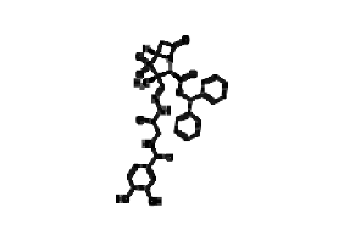 C[C@]1(/C=N/NC(=O)CNC(=O)c2ccc(O)c(O)c2)[C@H](C(=O)OC(c2ccccc2)c2ccccc2)N2C(=O)C[C@H]2S1(=O)=O